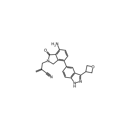 C=C(C#N)CN1Cc2c(-c3ccc4[nH]nc(C5COC5)c4c3)ccc(N)c2C1=O